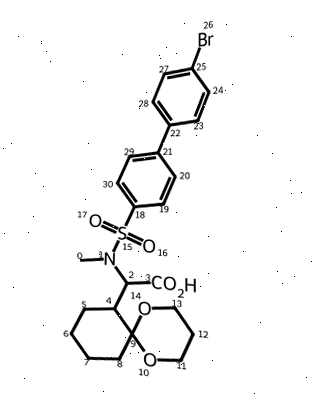 CN(C(C(=O)O)C1CCCCC12OCCCO2)S(=O)(=O)c1ccc(-c2ccc(Br)cc2)cc1